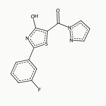 O=C(c1sc(-c2cccc(F)c2)nc1O)n1cccn1